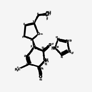 Cc1cn([C@H]2CC[C@@H](CO)O2)c(=O)[nH]c1=O.c1nnn[nH]1